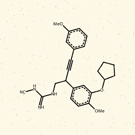 COc1cccc(C#CC(CNC(=N)NC#N)c2ccc(OC)c(OC3CCCC3)c2)c1